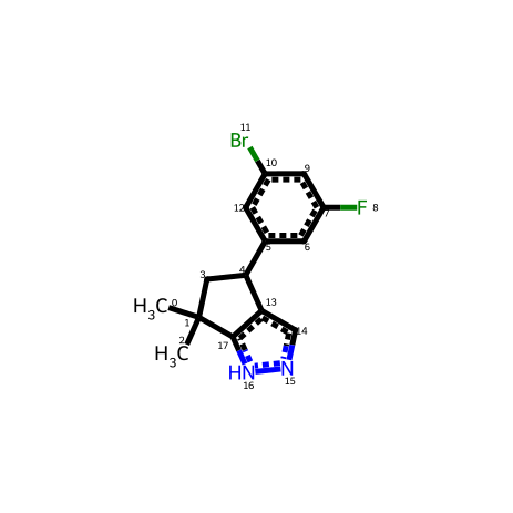 CC1(C)CC(c2cc(F)cc(Br)c2)c2cn[nH]c21